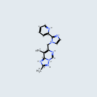 CCCc1c(Cn2ccnc2-c2ccccn2)ncn2nc(C)nc12